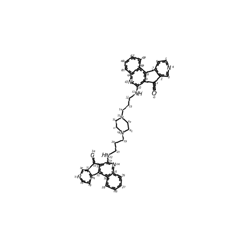 O=C1c2cnccc2-c2c1c(NCCCN1CCN(CCCNc3nc4ccccc4c4c3C(=O)c3cnccc3-4)CC1)nc1ccccc21